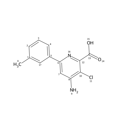 Cc1cccc(-c2cc(N)c(Cl)c(C(=O)O)n2)c1